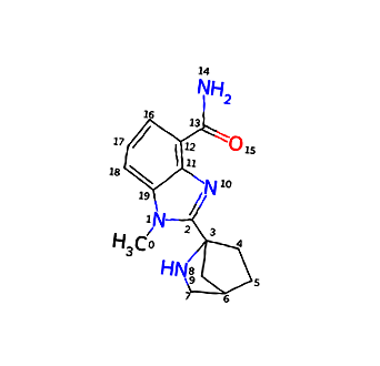 Cn1c(C23CCC(CN2)C3)nc2c(C(N)=O)cccc21